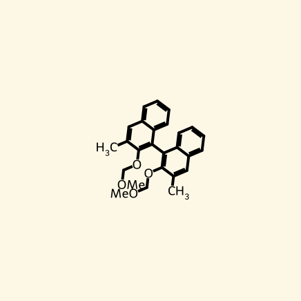 COCOc1c(C)cc2ccccc2c1-c1c(OCOC)c(C)cc2ccccc12